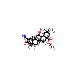 CCOC(=O)[C@]12CCC(C)(C)CC1C1C(=O)C[C@@H]3[C@@]4(C)C=C(C#N)C(=O)[C@@H](C)[C@@H]4CC[C@@]3(C)[C@]1(C)CC2